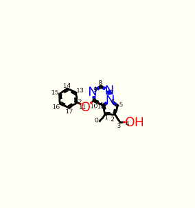 Cc1c(CO)cn2ncnc(Oc3ccccc3)c12